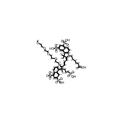 COCCOCCOCCOCC[N+]1=C(/C=C/C=C2/N(CCCCCC(=O)O)c3ccc4c(S(=O)(=O)O)cc(S(=O)(=O)O)cc4c3C2(C)C)C(C)(CCCS(=O)(=O)O)c2c1ccc1c(S(=O)(=O)[O-])cc(S(=O)(=O)O)cc21